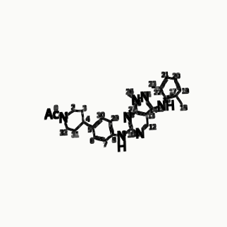 CC(=O)N1CCC(c2ccc(Nc3ncc4c(Nc5c(C)cccc5C)nn(C)c4n3)cc2)CC1